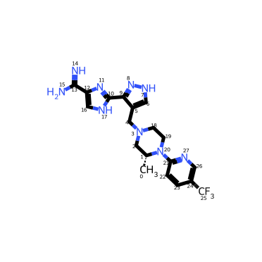 C[C@@H]1CN(Cc2c[nH]nc2-c2nc(C(=N)N)c[nH]2)CCN1c1ccc(C(F)(F)F)cn1